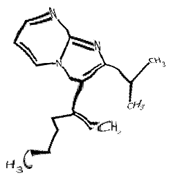 C=C(CCC)c1c(C(C)C)nc2ncccn12